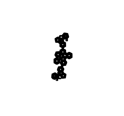 CC12CCCC1c1cc(-c3ccc4c(c3)C(c3ccccc3)(c3ccccc3)c3c-4c4ccccc4c4cc(-c5ccc6c(c5)C5CCCC5(C)N6c5ccccc5)ccc34)ccc1N2c1ccccc1